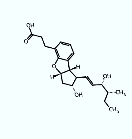 CC[C@@H](C)[C@@H](O)/C=C/[C@@H]1[C@H]2c3cccc(CCC(=O)O)c3O[C@H]2C[C@H]1O